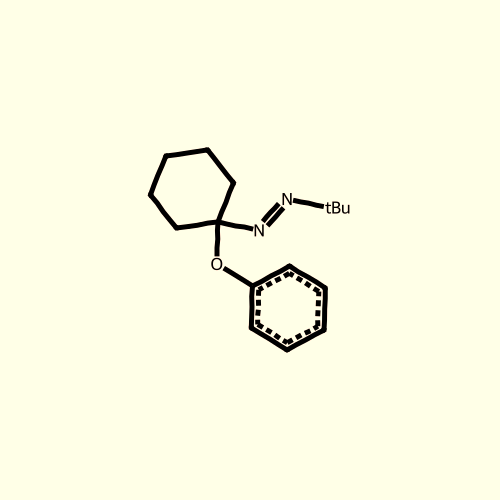 CC(C)(C)/N=N/C1(Oc2ccccc2)CCCCC1